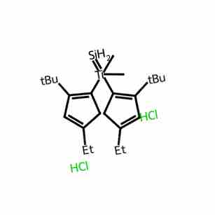 CCC1=CC(C(C)(C)C)=[C]([Ti]([CH3])([CH3])(=[SiH2])[C]2=C(C(C)(C)C)C=C(CC)C2)C1.Cl.Cl